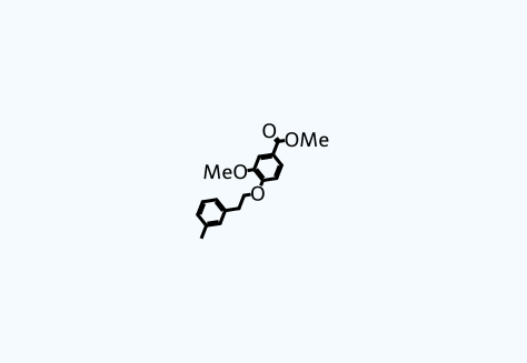 COC(=O)c1ccc(OCCc2cccc(C)c2)c(OC)c1